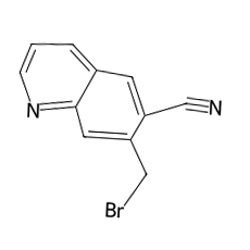 N#Cc1cc2cccnc2cc1CBr